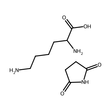 NCCCCC(N)C(=O)O.O=C1CCC(=O)N1